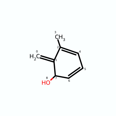 C=C1C(C)=CC=CC1O